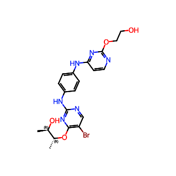 C[C@@H](O)[C@@H](C)Oc1nc(Nc2ccc(Nc3ccnc(OCCO)n3)cc2)ncc1Br